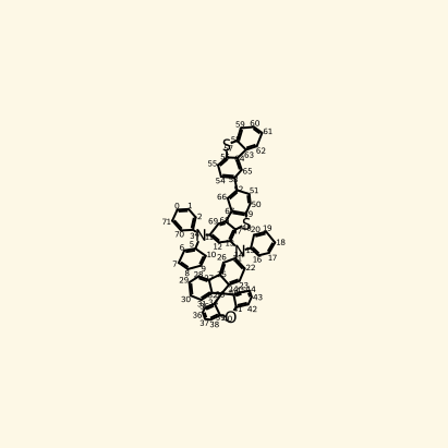 c1ccc(N(c2ccccc2)c2cc(N(c3ccccc3)c3ccc4c(c3)-c3ccccc3C43c4ccccc4Oc4ccccc43)c3sc4ccc(-c5ccc6sc7ccccc7c6c5)cc4c3c2)cc1